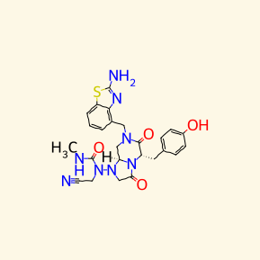 CNC(=O)N(CC#N)N1CC(=O)N2[C@@H](Cc3ccc(O)cc3)C(=O)N(Cc3cccc4sc(N)nc34)C[C@@H]21